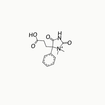 C[N+]1(C)C(=O)NC(=O)C1(CCC(=O)O)c1ccccc1